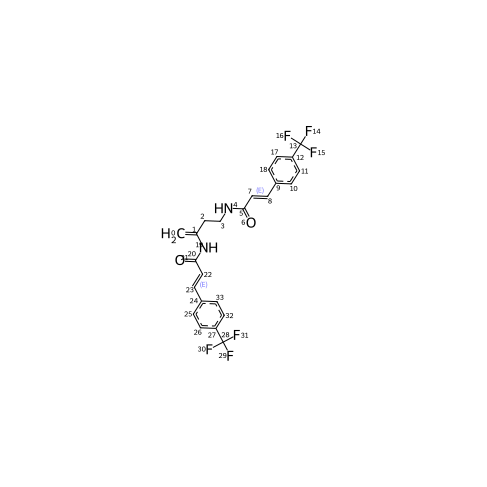 C=C(CCNC(=O)/C=C/c1ccc(C(F)(F)F)cc1)NC(=O)/C=C/c1ccc(C(F)(F)F)cc1